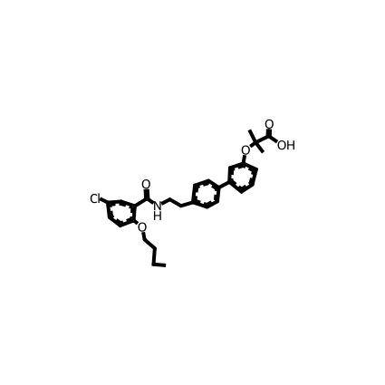 CCCCOc1ccc(Cl)cc1C(=O)NCCc1ccc(-c2cccc(OC(C)(C)C(=O)O)c2)cc1